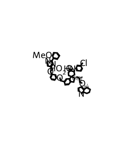 COc1ccccc1-c1nccc(COc2cccc(OCc3ccc4c(c3)C3(CCC(Nc5cccc(Cl)c5)(C(=O)O)CC3)[C@@H](C[C@@H](C)COc3ccnc5c3[C@H](C)CCC5)C4)c2)n1